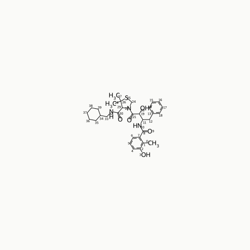 Cc1c(O)cccc1C(=O)NC(Cc1ccccc1)C(O)C(=O)N1CSC(C)(C)C1C(=O)NCC1CCCCC1